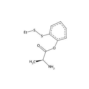 CCSSc1ccccc1OC(=O)[C@H](C)N